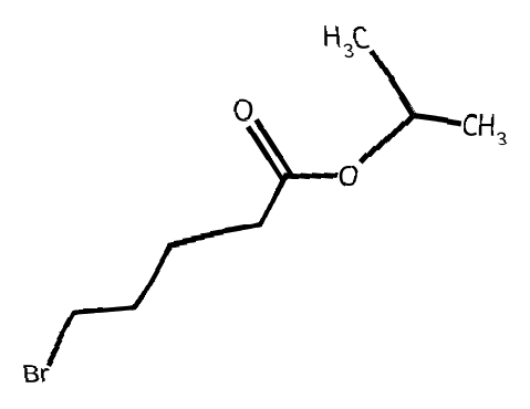 CC(C)OC(=O)CCCCBr